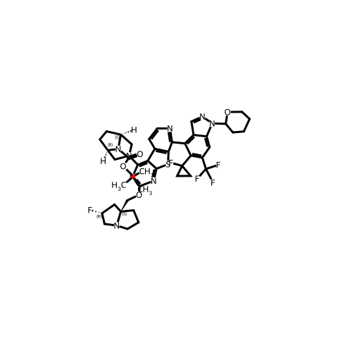 CC(C)(C)OC(=O)N1[C@@H]2CC[C@H]1CN(c1nc(OC[C@@]34CCCN3C[C@H](F)C4)nc3sc4c(-c5c(C6(F)CC6)c(C(F)(F)F)cc6c5cnn6C5CCCCO5)nccc4c13)C2